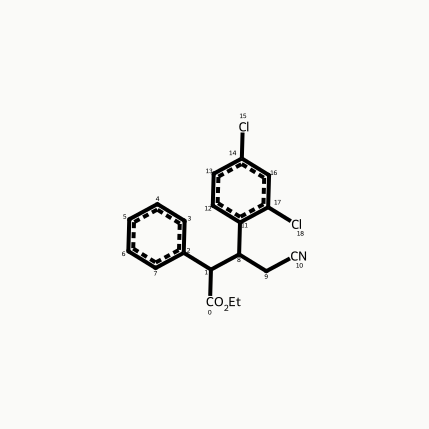 CCOC(=O)C(c1ccccc1)C(CC#N)c1ccc(Cl)cc1Cl